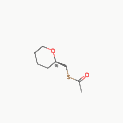 CC(=O)SC[C@H]1CCCCO1